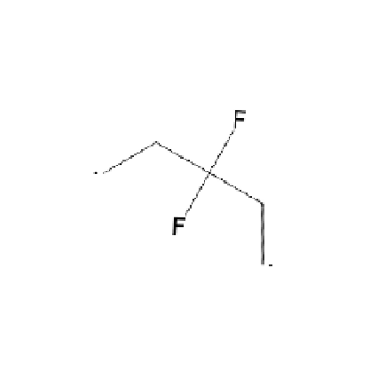 [CH2]CC(F)(F)C[CH2]